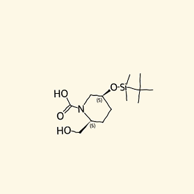 CC(C)(C)[Si](C)(C)O[C@H]1CC[C@@H](CO)N(C(=O)O)C1